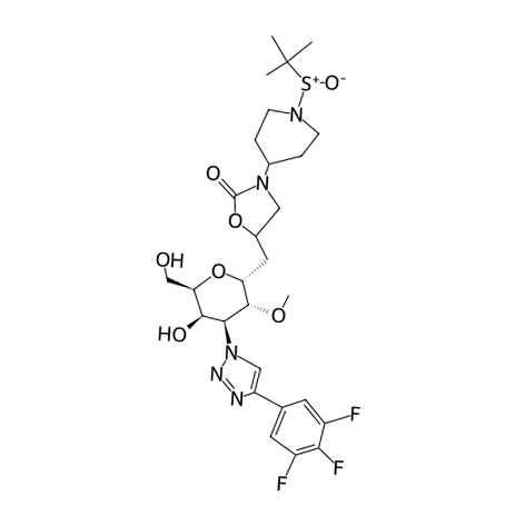 CO[C@@H]1[C@@H](n2cc(-c3cc(F)c(F)c(F)c3)nn2)[C@@H](O)[C@@H](CO)O[C@@H]1CC1CN(C2CCN([S+]([O-])C(C)(C)C)CC2)C(=O)O1